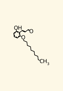 CCCCCCCCCCOc1cccc(O)c1C=CC=O